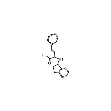 O=C(O)C(/C=C/c1ccccc1)NC1CCc2ccccc21